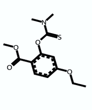 CCOc1ccc(C(=O)OC)c(OC(=S)N(C)C)c1